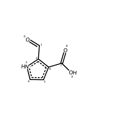 O=Cc1[nH]ccc1C(=O)O